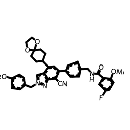 COc1ccc(Cn2cc3c(C4CCC5(CC4)OCCO5)cc(-c4ccc(CNC(=O)c5cc(F)ccc5OC)cc4)c(C#N)c3n2)cc1